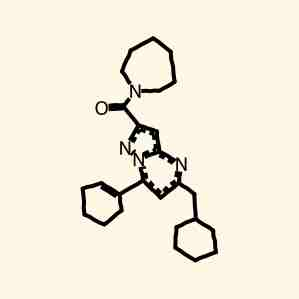 O=C(c1cc2nc(CC3CCCCC3)cc(C3=CCCCC3)n2n1)N1CCCCCC1